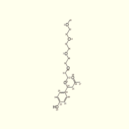 COCCOCCOCCOCCOC(CC(C)=O)c1ccc(O)cc1